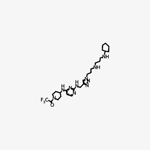 O=C(N1CCC(Nc2ccnc(NCc3cn(CCCNCCCNC4CCCCC4)nn3)n2)CC1)C(F)(F)F